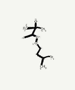 CC(C)CCOOC(=O)C(C)(C)[O]